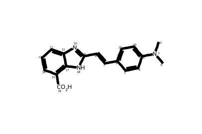 CN(C)c1ccc(C=Cc2nc3cccc(C(=O)O)c3[nH]2)cc1